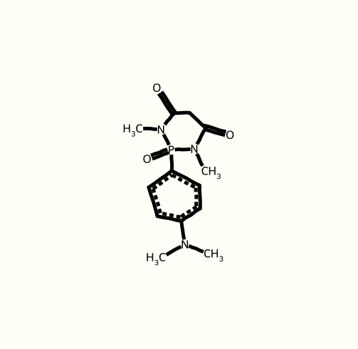 CN(C)c1ccc(P2(=O)N(C)C(=O)CC(=O)N2C)cc1